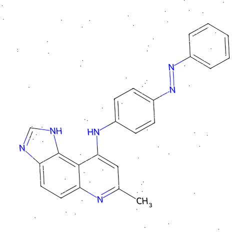 Cc1cc(Nc2ccc(/N=N/c3ccccc3)cc2)c2c(ccc3nc[nH]c32)n1